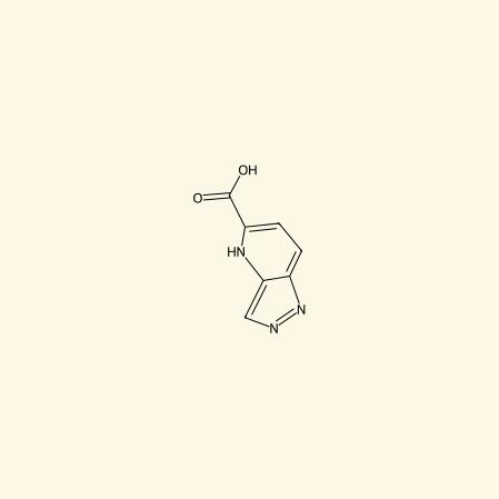 O=C(O)c1ccc2nncc-2[nH]1